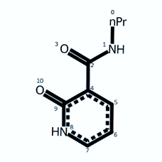 CCCNC(=O)c1ccc[nH]c1=O